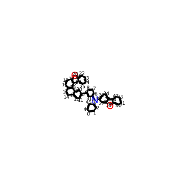 c1ccc(N(c2cccc(-c3ccc4ccc5ccc6oc7ccccc7c6c5c4c3)c2)c2ccc3c(c2)oc2ccccc23)cc1